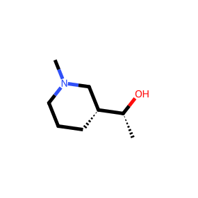 C[C@@H](O)[C@@H]1CCCN(C)C1